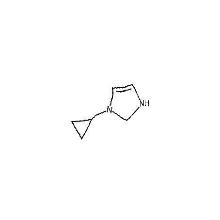 C1=CN(C2CC2)CN1